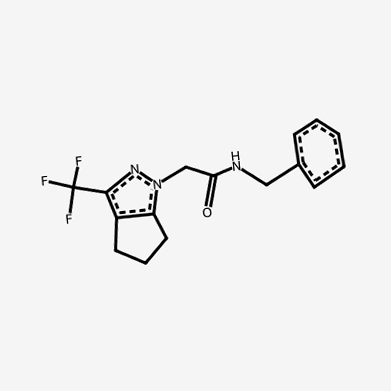 O=C(Cn1nc(C(F)(F)F)c2c1CCC2)NCc1ccccc1